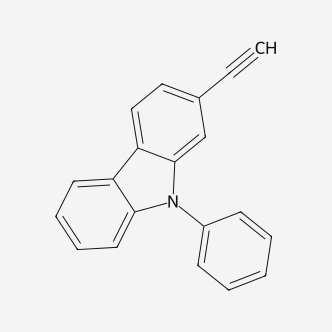 C#Cc1ccc2c3ccccc3n(-c3ccccc3)c2c1